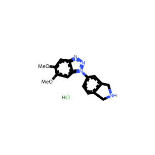 COc1cc2nnn(-c3ccc4c(c3)CNC4)c2cc1OC.Cl